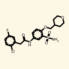 NS(=O)(=O)c1cc(NC(=O)Cc2cc(F)ccc2Cl)ccc1OCC1CCOCC1